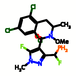 CON(C(=O)c1c(C(F)P)nn(C)c1F)C(C)Cc1c(Cl)cc(Cl)cc1Cl